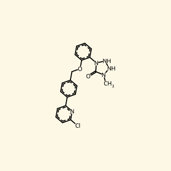 CN1NNN(c2ccccc2OCc2ccc(-c3cccc(Cl)n3)cc2)C1=O